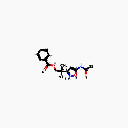 CCC(=O)Nc1cc(C(C)(C)COC(=O)c2ccccc2)no1